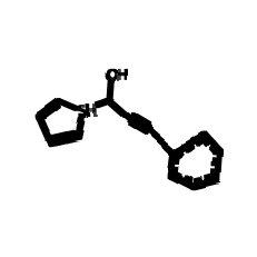 OC(C#Cc1ccccc1)[SH]1C=CC=C1